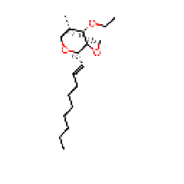 CCCCCCCC=C[C@@H]1OC[C@H](C)[C@H](OCC)[C@]12CO2